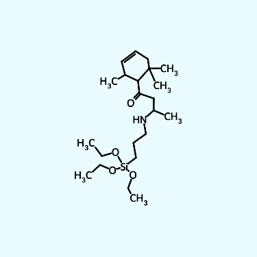 CCO[Si](CCCNC(C)CC(=O)C1C(C)C=CCC1(C)C)(OCC)OCC